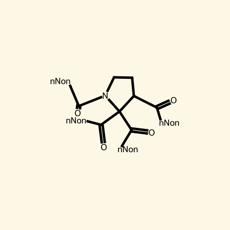 CCCCCCCCCC(=O)C1CCN(C(=O)CCCCCCCCC)C1(C(=O)CCCCCCCCC)C(=O)CCCCCCCCC